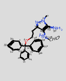 Cn1nc(CCOC(c2ccccc2)(c2ccccc2)c2ccccc2)c(NC=O)c1N